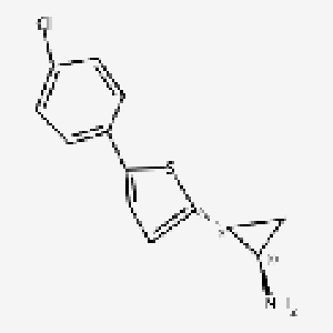 N[C@@H]1C[C@H]1c1ccc(-c2ccc(Cl)cc2)s1